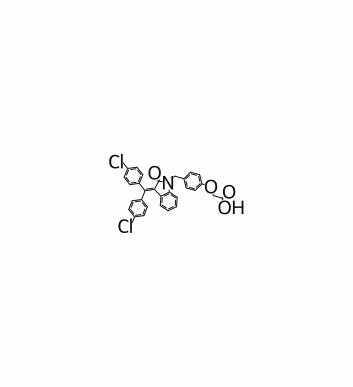 O=C(O)COc1ccc(CN2C(=O)C(=C(c3ccc(Cl)cc3)c3ccc(Cl)cc3)c3ccccc32)cc1